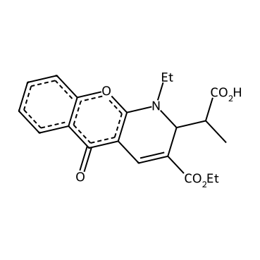 CCOC(=O)C1=Cc2c(oc3ccccc3c2=O)N(CC)C1C(C)C(=O)O